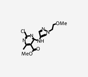 COCCn1cc(Nc2nc(Cl)nc(C)c2C(=O)OC)cn1